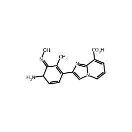 CC1=C(c2cn3cccc(C(=O)O)c3n2)C=CC(N)C1=NO